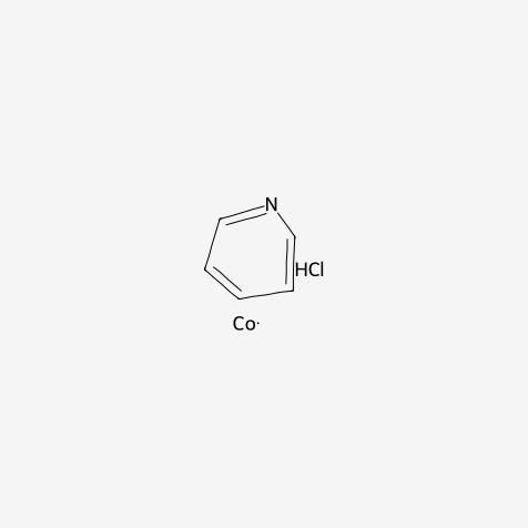 Cl.[Co].c1ccncc1